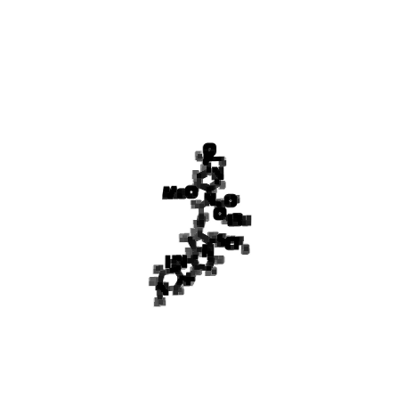 COc1cc(P(C)(C)=O)ncc1N(CC#Cc1cc2c(N[C@@H]3CCN(C)C[C@@H]3F)cccn2c1SC(F)(F)F)C(=O)OC(C)(C)C